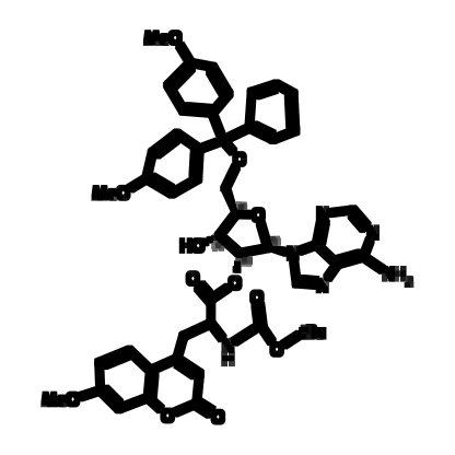 COc1ccc(C(OC[C@H]2O[C@@H](n3cnc4c(N)ncnc43)[C@H](OC(=O)C(Cc3cc(=O)oc4cc(OC)ccc34)NC(=O)OC(C)(C)C)[C@@H]2O)(c2ccccc2)c2ccc(OC)cc2)cc1